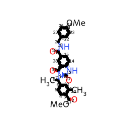 COC(=O)c1ccc(C(C)n2c(=O)[nH]c3ccc(C(=O)NCc4ccc(OC)cc4)cc3c2=O)cc1C